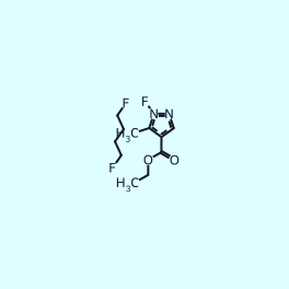 CCOC(=O)c1cnn(F)c1C.FCCCCF